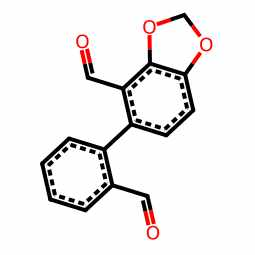 O=Cc1ccccc1-c1ccc2c(c1C=O)OCO2